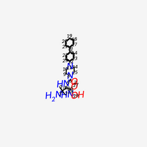 CC(C)(N)[C@H](NC(=O)N1CCN(c2ccc(-c3ccccc3)cc2)CC1)C(=O)NO